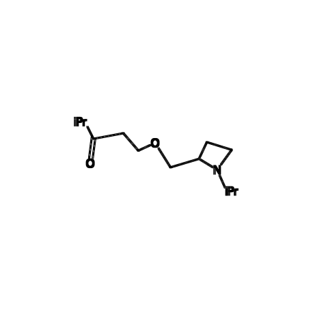 CC(C)C(=O)CCOCC1CCN1C(C)C